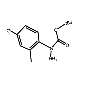 Cc1cc(Cl)ccc1N(N)C(=O)OC(C)(C)C